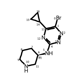 Brc1nnc(N[C@@H]2CCCNC2)nc1C1CC1